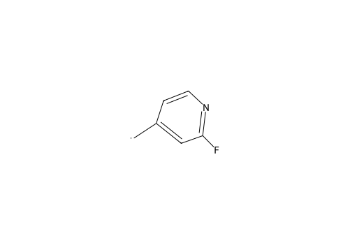 [CH2]c1ccnc(F)c1